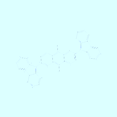 Cc1c2ccc(-n3c4ccccc4c4ccccc43)cc2c(C)c2ccc(N3c4ccccc4C4C=CC=CC43)cc12